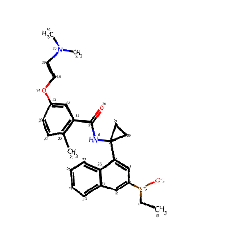 CC[S+]([O-])c1cc(C2(NC(=O)c3cc(OCCN(C)C)ccc3C)CC2)c2ccccc2c1